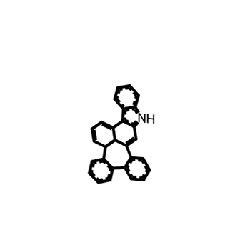 C1=CC2c3ccccc3-c3ccccc3C3=Cc4[nH]c5ccccc5c4C(=C1)C32